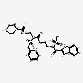 CS(=O)(=O)C(CCNC(=O)C(CNC(=O)N1CCOCC1)S(=O)(=O)Cc1ccccn1)C(=O)c1nc2ccccc2o1